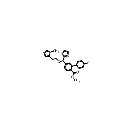 COC(=O)c1ccc(C(OCCc2cncn2C)c2nccs2)cc1-c1ccc(F)cc1